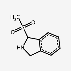 CS(=O)(=O)C1NCc2ccccc21